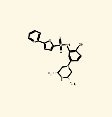 C[C@@H]1CN(c2ccc(O)c(NS(=O)(=O)c3ccc(-c4ccccn4)s3)c2)C[C@H](C)N1